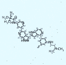 CN(C)CCNc1cc(F)cc(-c2nccc3[nH]c(-c4n[nH]c5cnc(-c6cncc(NC(=O)C(C)(C)C)c6)cc45)cc23)c1